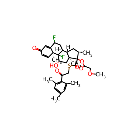 COCC(=O)O[C@]1(C(=O)SCC(=O)c2c(C)cc(C)cc2C)[C@H](C)C[C@H]2[C@@H]3C[C@H](F)C4=CC(=O)C=C[C@]4(C)[C@@]3(F)[C@@H](O)C[C@@]21C